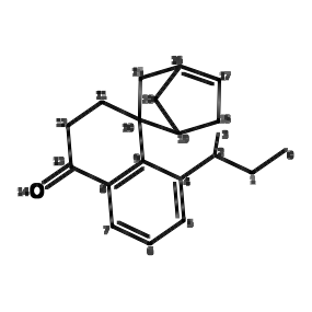 CCC(C)c1cccc2c1C1(CCC2=O)CC2=CCC1C2